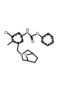 Cc1c(Cl)cc(NC(=O)Oc2ccccc2)cc1CN1CC2CCC(C1)O2